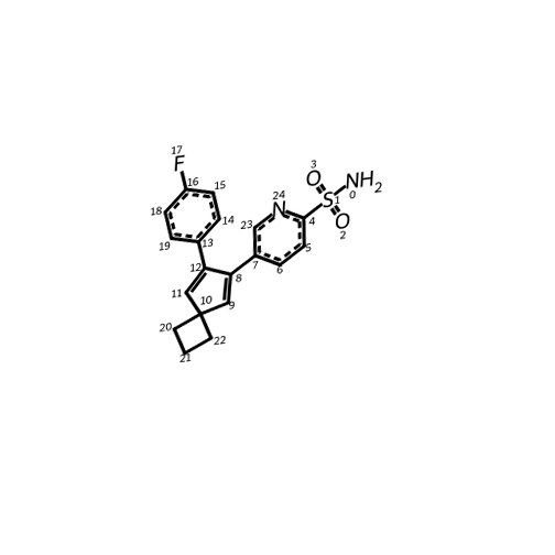 NS(=O)(=O)c1ccc(C2=CC3(C=C2c2ccc(F)cc2)CCC3)cn1